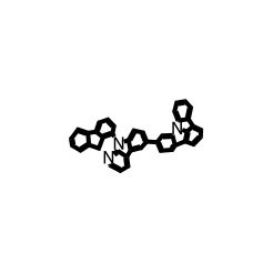 c1ccc2c(c1)Cc1c-2cccc1-n1c2ccc(-c3ccc4c5cccc6c7ccccc7n(c4c3)c65)cc2c2cccnc21